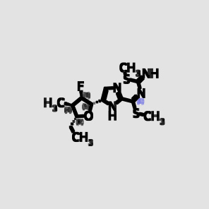 CC[C@H]1O[C@@H](c2cnc(/C(=N\C(=N)SC)SC)[nH]2)[C@H](F)[C@@H]1C